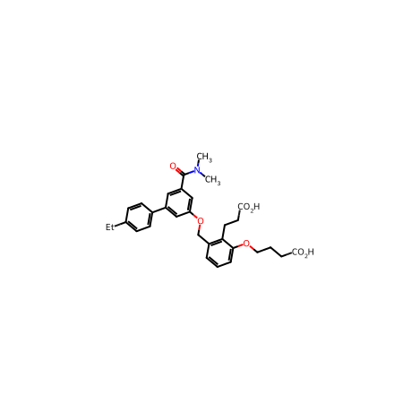 CCc1ccc(-c2cc(OCc3cccc(OCCCC(=O)O)c3CCC(=O)O)cc(C(=O)N(C)C)c2)cc1